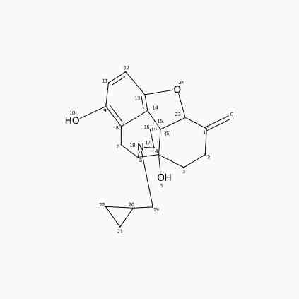 C=C1CCC2(O)C3Cc4c(O)ccc5c4[C@@]2(CCN3CC2CC2)C1O5